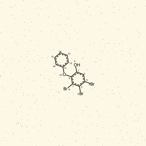 Oc1cc(Br)c(Br)c(Br)c1Oc1ccccc1